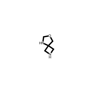 C1NC2(CNC2)CO1